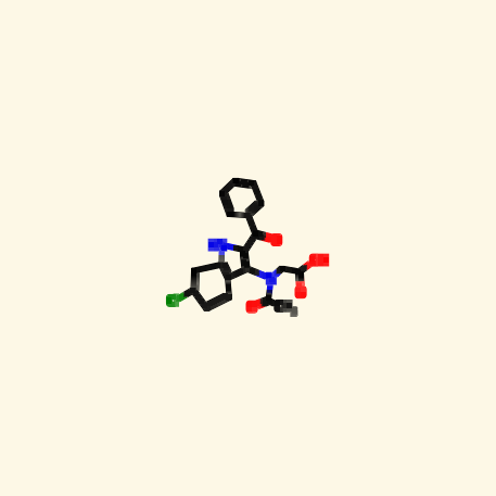 CC(=O)N(CC(=O)O)c1c(C(=O)c2ccccc2)[nH]c2cc(Cl)ccc12